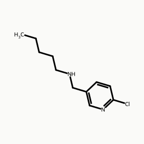 CCCCCNCc1ccc(Cl)nc1